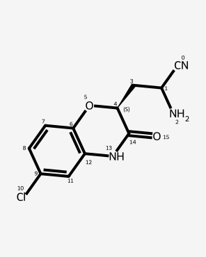 N#CC(N)C[C@@H]1Oc2ccc(Cl)cc2NC1=O